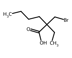 CCCCC(CC)(CBr)C(=O)O